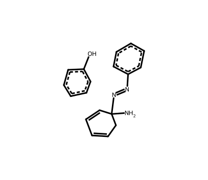 NC1(N=Nc2ccccc2)C=CC=CC1.Oc1ccccc1